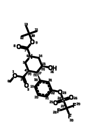 COC(=O)[C@H]1CN(C(=O)OC(C)(C)C)C[C@@H](O)[C@@H]1c1cccc(OS(=O)(=O)C(F)(F)F)c1